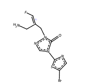 NC/C(=C\F)Cn1ncn(-c2ncc(Br)s2)c1=O